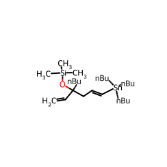 C=CC(CC=[CH][Sn]([CH2]CCC)([CH2]CCC)[CH2]CCC)(CCCC)O[Si](C)(C)C